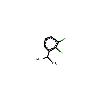 [CH2]C(OC)c1cccc(Cl)c1Cl